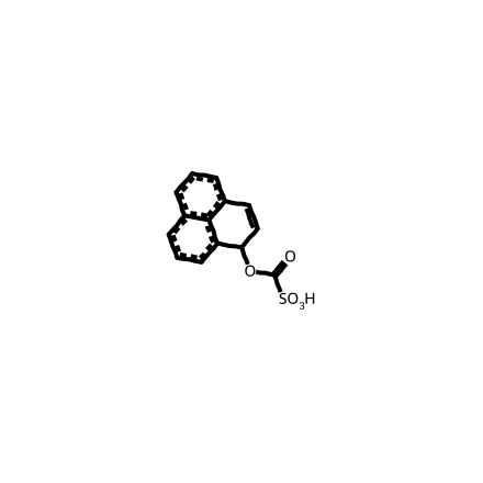 O=C(OC1C=Cc2cccc3cccc1c23)S(=O)(=O)O